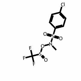 CN(OS(=O)C(F)(F)F)S(=O)(=O)c1ccc(Cl)cc1